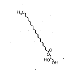 CCCCCCCCCC=CC=CC=CC=CC=CC(=O)OCC(O)CO